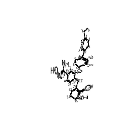 CCc1ccc(-c2ccc(Oc3cc(C(N)=NO)ccc3Cc3ccc[nH]c3=O)cc2)nn1